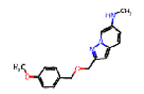 CNc1ccc2cc(COCc3ccc(OC)cc3)nn2c1